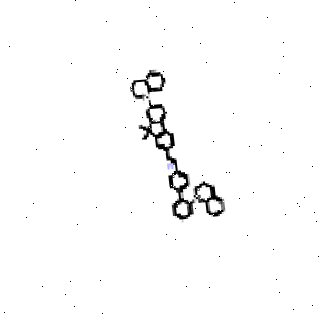 CC1(C)c2cc(/C=C/c3ccc(-c4ccccc4N4CCCc5ccccc54)cc3)ccc2-c2ccc(N3CCCC4=C3CCC=C4)cc21